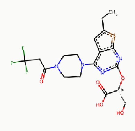 CCc1cc2c(N3CCN(C(=O)CC(F)(F)F)CC3)nc(O[C@H](CO)C(=O)O)nc2s1